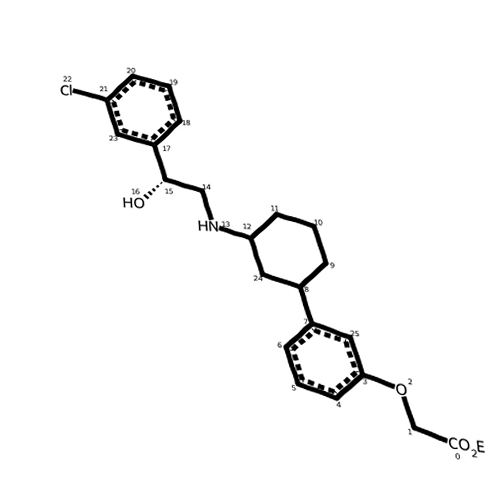 CCOC(=O)COc1cccc(C2CCCC(NC[C@H](O)c3cccc(Cl)c3)C2)c1